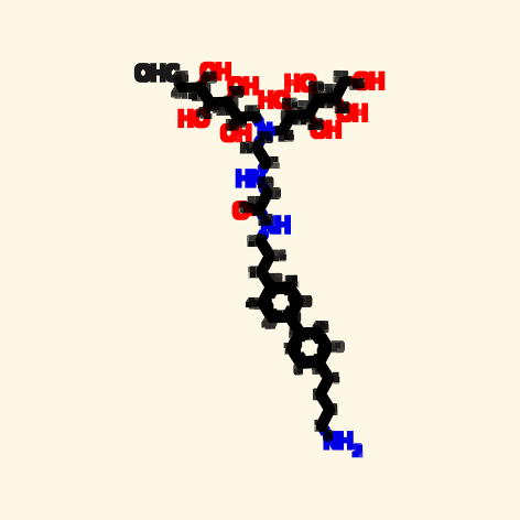 NCCCCc1ccc(-c2ccc(CCCNC(=O)CNCCN(C[C@H](O)[C@@H](O)[C@H](O)[C@H](O)CO)C[C@H](O)[C@@H](O)[C@H](O)[C@H](O)CC=O)cc2)cc1